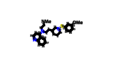 CNCCN(CCC1CCCN(Sc2cccc(OC)c2)C1)c1ccnc2ccccc12